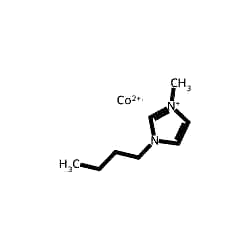 CCCCn1cc[n+](C)c1.[Co+2]